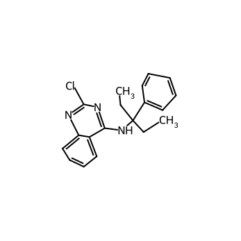 CCC(CC)(Nc1nc(Cl)nc2ccccc12)c1ccccc1